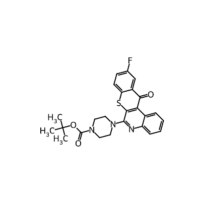 CC(C)(C)OC(=O)N1CCN(c2nc3ccccc3c3c(=O)c4cc(F)ccc4sc23)CC1